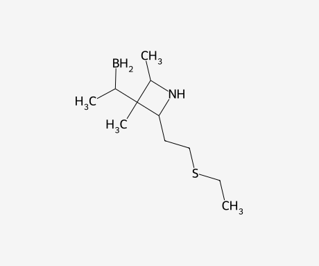 BC(C)C1(C)C(C)NC1CCSCC